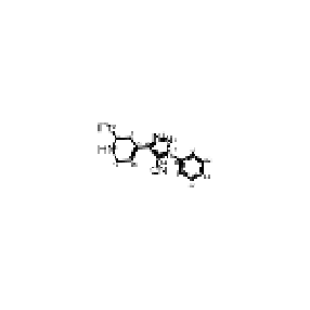 CC(C)C1CC(c2nnn(-c3ccccc3)c2C#N)=CCN1